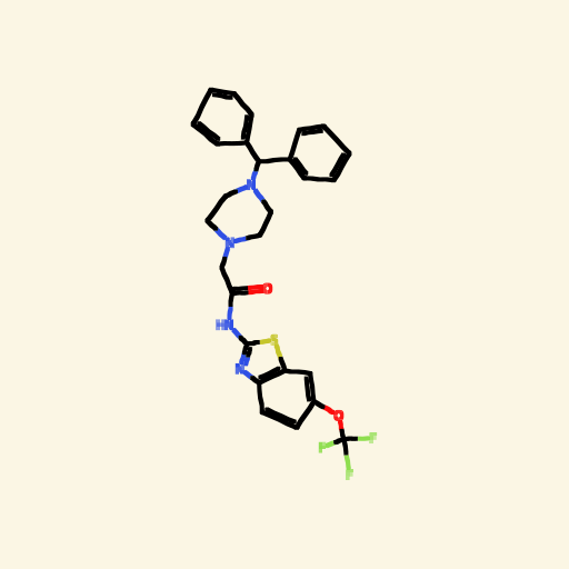 O=C(CN1CCN(C(c2ccccc2)c2ccccc2)CC1)Nc1nc2ccc(OC(F)(F)F)cc2s1